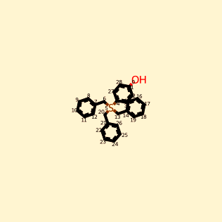 Oc1ccc(S(Cc2ccccc2)(Cc2ccccc2)Cc2ccccc2)cc1